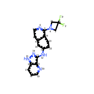 FC1(F)CN(c2nccc3cc(Nc4n[nH]c5cccnc45)ccc23)C1